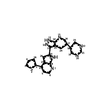 c1csc(-c2ccnc3[nH]c(-c4n[nH]c5ncc(-c6cncnc6)cc45)cc23)c1